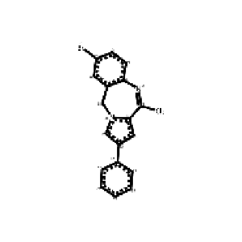 ClC1=Nc2ccc(Br)cc2Cn2cc(-c3ccccc3)cc21